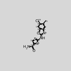 Cc1cc2nc(Nc3nc(C(N)=O)cs3)oc2cc1Cl